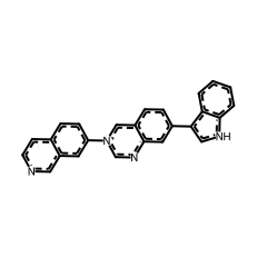 c1ccc2c(-c3ccc4c[n+](-c5ccc6ccncc6c5)cnc4c3)c[nH]c2c1